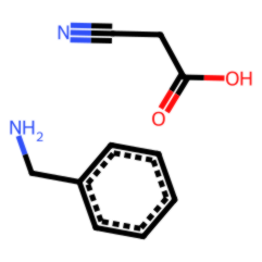 N#CCC(=O)O.NCc1ccccc1